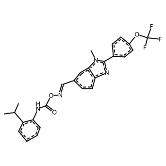 CC(C)c1ccccc1NC(=O)O/N=C/c1ccc2nc(-c3ccc(OC(F)(F)F)cc3)n(C)c2c1